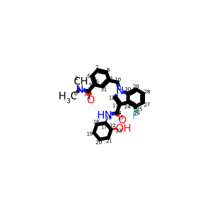 CN(C)C(=O)c1cccc(Cn2cc(C(=O)N[C@H]3CCCC[C@@H]3O)c3c(F)cccc32)c1